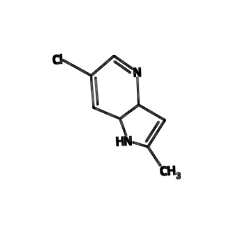 CC1=CC2N=CC(Cl)=CC2N1